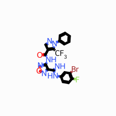 N=C(Nc1ccc(F)c(Br)c1)c1nonc1NC(=O)c1cnn(-c2ccccc2)c1C(F)(F)F